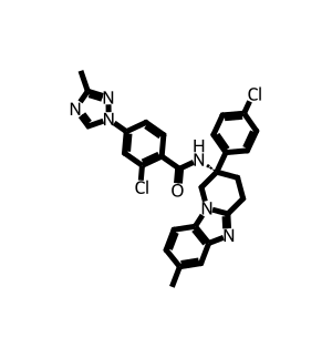 Cc1ccc2c(c1)nc1n2C[C@@](NC(=O)c2ccc(-n3cnc(C)n3)cc2Cl)(c2ccc(Cl)cc2)CC1